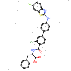 O=C(N[C@@H](Cc1ccccc1)C(=O)O)c1ccc(-c2ccc(Nc3nc4ccc(F)cc4s3)cc2)cc1Cl